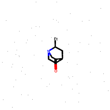 CCC1CC2CCN1CC2=O